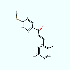 CCSc1ccc(C(=O)C=Cc2cc(C)ccc2C)cc1